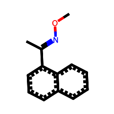 CON=C(C)c1cccc2ccccc12